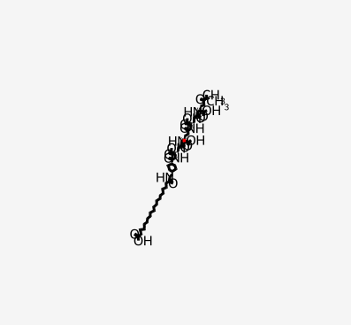 CC(C)C(=O)CC[C@H](NC(=O)CC[C@H](NC(=O)CC[C@H](NC(=O)CC[C@H](NC(=O)[C@H]1CC[C@H](CNC(=O)CCCCCCCCCCCCCCCCCCC(=O)O)CC1)C(=O)O)C(=O)O)C(=O)O)C(=O)O